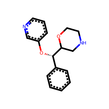 c1ccc([C@H](Oc2cccnc2)C2CNCCO2)cc1